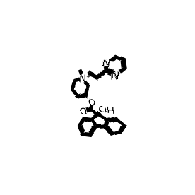 C[N+]1(CCc2ncccn2)CCC[C@@H](OC(=O)C2(O)c3ccccc3-c3ccccc32)C1